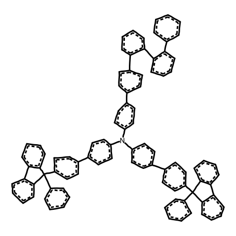 c1ccc(-c2ccccc2-c2ccccc2-c2ccc(-c3ccc(N(c4ccc(-c5ccc(C6(c7ccccc7)c7ccccc7-c7ccccc76)cc5)cc4)c4ccc(-c5ccc(C6(c7ccccc7)c7ccccc7-c7ccccc76)cc5)cc4)cc3)cc2)cc1